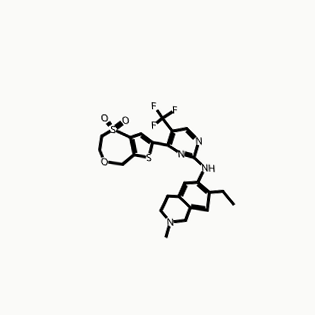 CCc1cc2c(cc1Nc1ncc(C(F)(F)F)c(-c3cc4c(s3)COCCS4(=O)=O)n1)CCN(C)C2